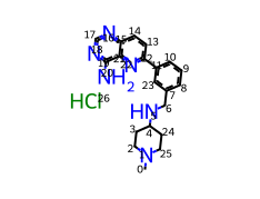 CN1CCC(NCc2cccc(-c3ccc4ncnc(N)c4n3)c2)CC1.Cl